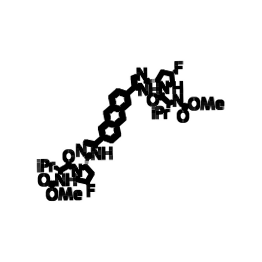 COC(=O)N[C@H](C(=O)N1C[C@@H](F)C[C@H]1c1ncc(-c2ccc3cc4cc(-c5cnc([C@@H]6C[C@H](F)CN6C(=O)[C@@H](NC(=O)OC)C(C)C)[nH]5)ccc4cc3c2)[nH]1)C(C)C